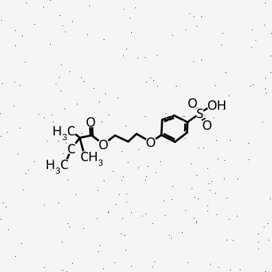 CCC(C)(C)C(=O)OCCCOc1ccc(S(=O)(=O)O)cc1